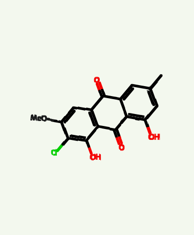 COc1cc2c(c(O)c1Cl)C(=O)c1c(O)cc(C)cc1C2=O